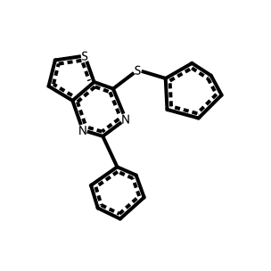 c1ccc(Sc2nc(-c3ccccc3)nc3ccsc23)cc1